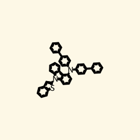 c1ccc(-c2ccc(N(c3ccc(-c4ccccc4)cc3)c3cccc4c3c3ccccc3n4-c3cc4ccccc4s3)cc2)cc1